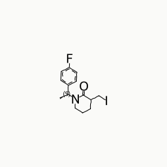 C[C@@H](c1ccc(F)cc1)N1CCCC(CI)C1=O